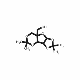 CC1(C)OC2OC3(CO)COC(C)(C)OC3C2O1